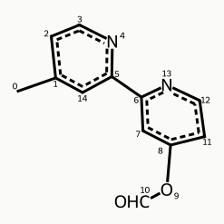 Cc1ccnc(-c2cc(OC=O)ccn2)c1